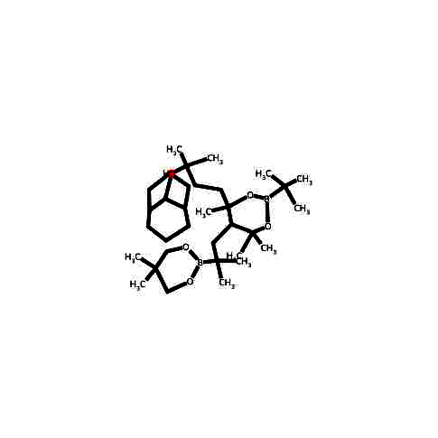 CC(C)(BC1C2CCCC1CCC2)CCC1(C)OB(C(C)(C)C)OC(C)(C)C1CC(C)(C)B1OCC(C)(C)CO1